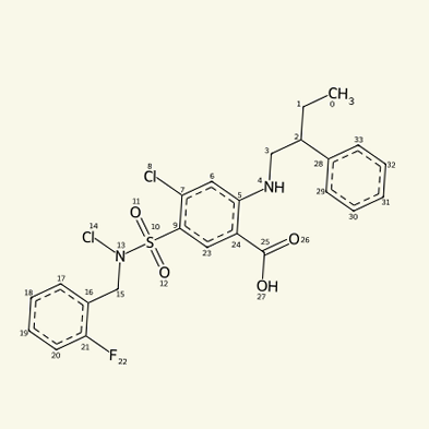 CCC(CNc1cc(Cl)c(S(=O)(=O)N(Cl)Cc2ccccc2F)cc1C(=O)O)c1ccccc1